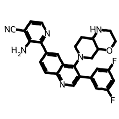 N#Cc1ccnc(-c2ccc3ncc(-c4cc(F)cc(F)c4)c(N4CCC5NCCOC5C4)c3c2)c1N